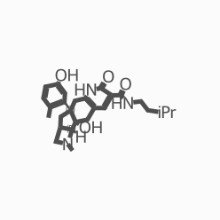 Cc1ccc(O)cc1[C@@]12Cc3[nH]c(=O)c(C(=O)NCCC(C)C)cc3CC1(O)[C@H]1C(CN1C)C2